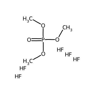 COP(=O)(OC)OC.F.F.F.F.F